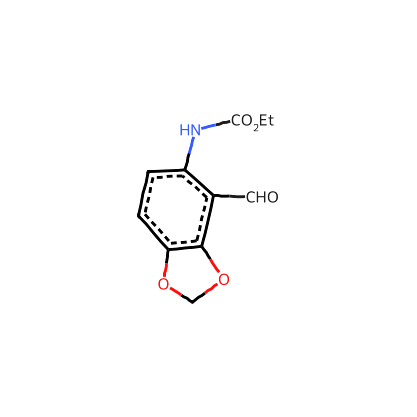 CCOC(=O)Nc1ccc2c(c1C=O)OCO2